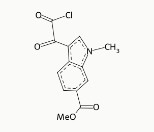 COC(=O)c1ccc2c(C(=O)C(=O)Cl)cn(C)c2c1